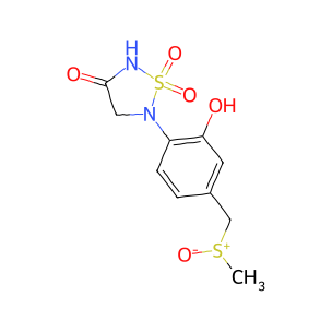 C[S+]([O-])Cc1ccc(N2CC(=O)NS2(=O)=O)c(O)c1